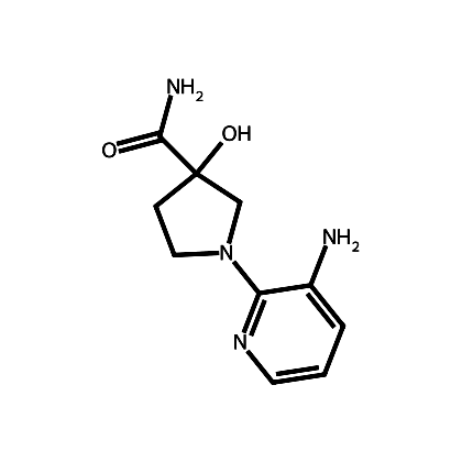 NC(=O)C1(O)CCN(c2ncccc2N)C1